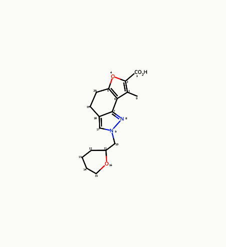 Cc1c(C(=O)O)oc2c1-c1nn(CC3CCCCO3)cc1CC2